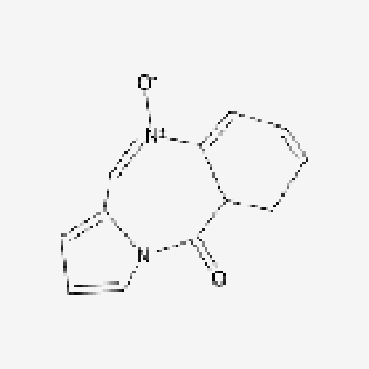 O=C1C2CC=CC=C2[N+]([O-])=Cc2cccn21